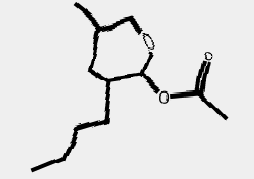 CCCCC1CC(C)COC1OC(C)=O